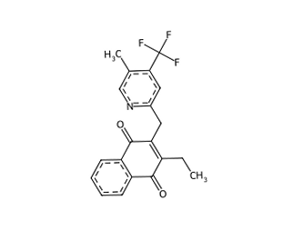 CCC1=C(Cc2cc(C(F)(F)F)c(C)cn2)C(=O)c2ccccc2C1=O